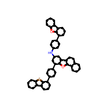 c1ccc2c(c1)ccc1c3cc(Nc4ccc(-c5cccc6c5oc5ccccc56)cc4)cc(-c4ccc(-c5cccc6c5sc5ccccc56)cc4)c3oc21